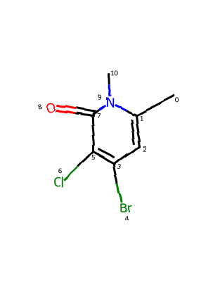 Cc1cc(Br)c(Cl)c(=O)n1C